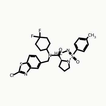 CN=[S@](=O)(c1ccc(C)cc1)N1CCC[C@H]1C(=O)N(Cc1ccc2sc(Cl)nc2c1)C1CCC(F)(F)CC1